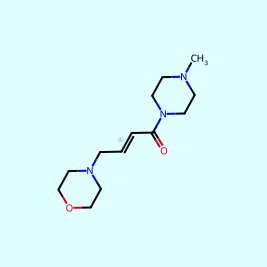 CN1CCN(C(=O)/C=C/CN2CCOCC2)CC1